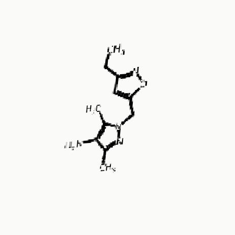 CCc1cc(Cn2nc(C)c(N)c2C)on1